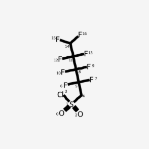 O=S(=O)(Cl)CC(F)(F)C(F)(F)C(F)(F)C(F)F